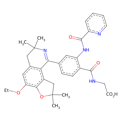 CCOc1cc2c(c3c1OC(C)(C)C3)C(c1ccc(C(=O)NCC(=O)O)c(NC(=O)c3ccccn3)c1)=NC(C)(C)C2